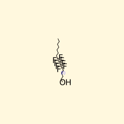 CCCCCCCC(F)(F)C(F)(F)C(F)(F)C(F)(F)/C=C/CCO